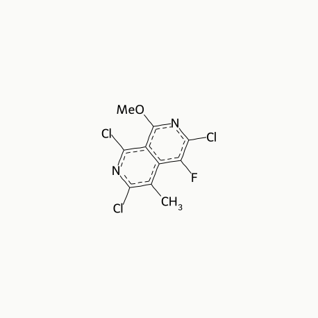 COc1nc(Cl)c(F)c2c(C)c(Cl)nc(Cl)c12